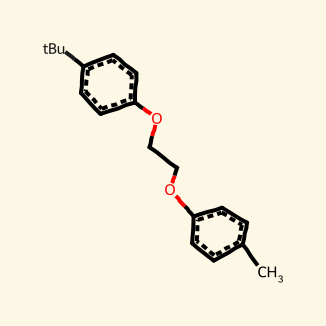 Cc1ccc(OCCOc2ccc(C(C)(C)C)cc2)cc1